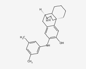 Cc1cc(C)cc(Nc2cc3c(cc2O)[C@]24CCCC[C@@H]2[C@H](C3)NCC4)c1